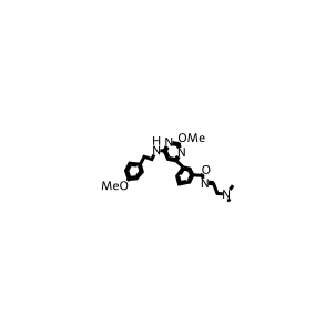 COc1ccc(CCNc2cc(-c3cccc(C(=O)N=CCN(C)C)c3)nc(OC)n2)cc1